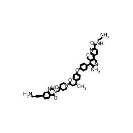 CCc1c(-c2ccc(C(=O)NCCN)nc2)cnc(N)c1-c1ccc(Oc2ccc([C@H](C)CC(=O)N3CCC(O)(Cn4cnc5cc(C#CCN)ccc5c4=O)CC3)cc2)cc1